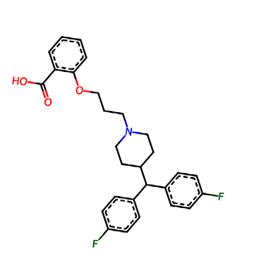 O=C(O)c1ccccc1OCCCN1CCC(C(c2ccc(F)cc2)c2ccc(F)cc2)CC1